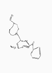 O.O=CN1CCN(c2ccnc(Oc3ccccc3)n2)CC1